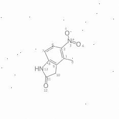 Cc1c([N+](=O)[O-])ccc2c1CC(=O)N2